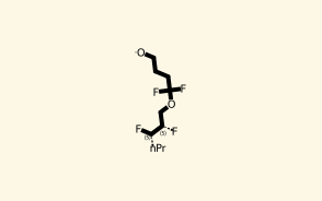 CCC[C@H](F)[C@@H](F)COC(F)(F)CCC[O]